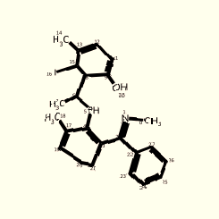 C/N=C(/C1=C(PC(C)C2C(O)=CC=C(C)C2I)C(C)=CCC1)c1ccccc1